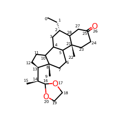 CC[C@H]1CC2C(CC[C@@]3(C)C2CC[C@@H]3[C@H](C)C2OCCO2)[C@@]2(C)CCC(=O)CC12